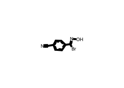 N#Cc1ccc(/C(Br)=N/O)cc1